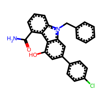 NC(=O)c1cccc2c1c1c(O)cc(-c3ccc(Cl)cc3)cc1n2Cc1ccccc1